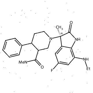 CCNc1cc(F)cc2c1NC(=O)[C@]2(C)N1CCC(c2ccccc2)C(C(=O)NC)C1